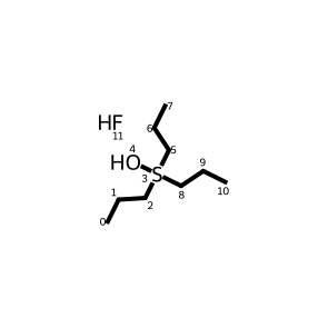 CCCS(O)(CCC)CCC.F